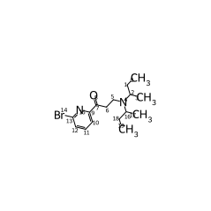 CCC(C)N(CCC(=O)c1cccc(Br)n1)C(C)CC